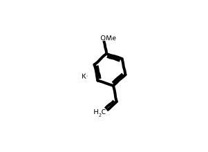 C=Cc1ccc(OC)cc1.[K]